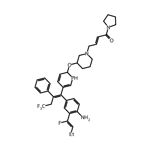 CC/C=C(\F)c1cc(/C(C2=CPC(OC3CCCN(C/C=C/C(=O)N4CCCC4)C3)C=C2)=C(\CC(F)(F)F)c2ccccc2)ccc1N